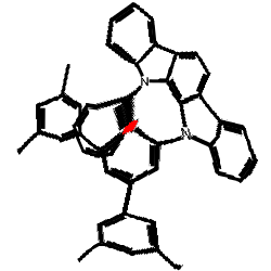 Cc1cc(C)cc(-c2cc(-c3cc(C)cc(C)c3)nc(-n3c4ccccc4c4ccc5c6ccccc6n(-c6ccccc6)c5c43)c2)c1